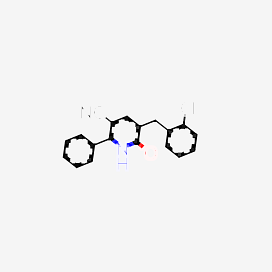 N#Cc1cc(Cc2ccccc2C(F)(F)F)c(=O)[nH]c1-c1ccccc1